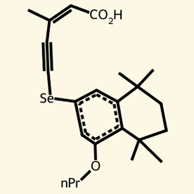 CCCOc1cc([Se]C#CC(C)=CC(=O)O)cc2c1C(C)(C)CCC2(C)C